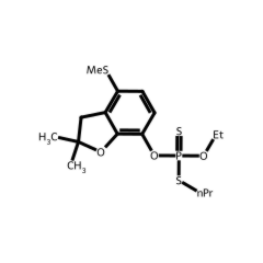 CCCSP(=S)(OCC)Oc1ccc(SC)c2c1OC(C)(C)C2